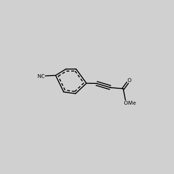 COC(=O)C#Cc1ccc(C#N)cc1